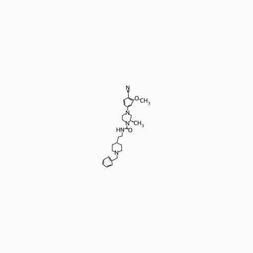 COc1cc(N2CCN(C(=O)NCCC3CCN(Cc4ccccc4)CC3)[C@H](C)C2)ccc1C#N